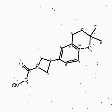 CC(C)(C)OC(=O)N1CC(c2ccc3c(c2)CCC(C)(C)O3)C1